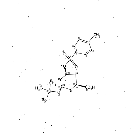 Cc1ccc(S(=O)(=O)O[C@@H]2C[C@H](O[Si](C)(C)C(C)(C)C)C[C@H](C(=O)O)C2)cc1